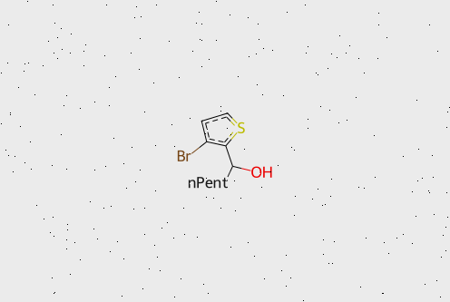 CCCCCC(O)c1sccc1Br